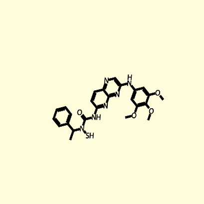 COc1cc(Nc2cnc3ccc(NC(=O)N(S)C(C)c4ccccc4)nc3n2)cc(OC)c1OC